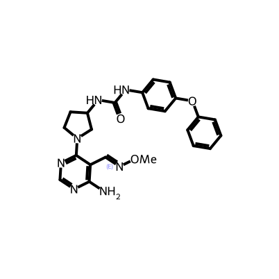 CO/N=C/c1c(N)ncnc1N1CCC(NC(=O)Nc2ccc(Oc3ccccc3)cc2)C1